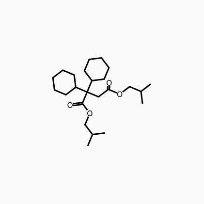 CC(C)COC(=O)CC(C(=O)OCC(C)C)(C1CCCCC1)C1CCCCC1